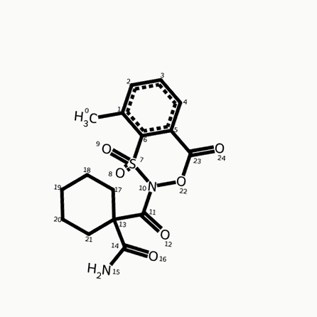 Cc1cccc2c1S(=O)(=O)N(C(=O)C1(C(N)=O)CCCCC1)OC2=O